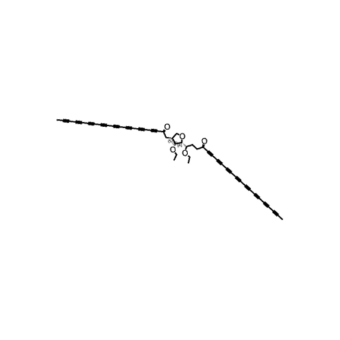 CC#CC#CC#CC#CC#CC#CC#CC#CC(=O)CCC(OCC)[C@H]1OC[C@H](CC(=O)C#CC#CC#CC#CC#CC#CC#CC#CC)[C@H]1OCC